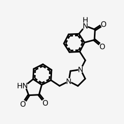 O=C1Nc2cccc(CN3CCN(Cc4cccc5c4C(=O)C(=O)N5)C3)c2C1=O